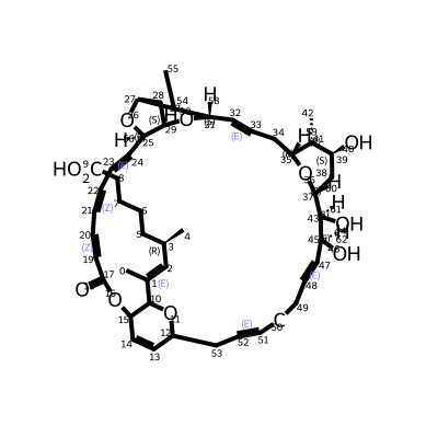 C/C(=C\[C@H](C)CCCCC(=O)O)C1OC2C=CC1OC(=O)\C=C/C=C\C=C\[C@H]1OC3C[C@@H]1O[C@@H](/C=C/C[C@H]1O[C@H](C[C@H](O)[C@H]1C)[C@@H](O)[C@@H](O)/C=C/CC/C=C/C2)C3C